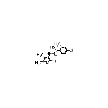 Cc1cc(Cl)ccc1N(S)C(=O)Nc1c(C)nn(C)c1C